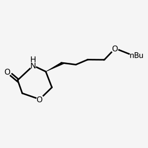 CCCCOCCCC[C@H]1COCC(=O)N1